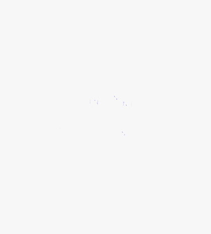 Cc1ccc(-c2ncc(-c3ccc(Oc4ccccc4)cc3)c3c(N)n[nH]c23)cc1